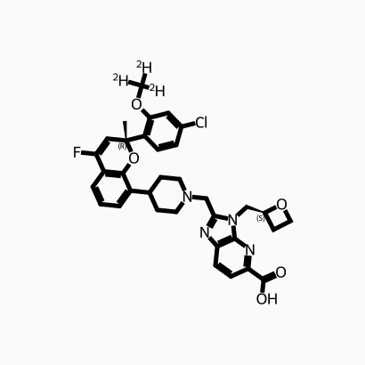 [2H]C([2H])([2H])Oc1cc(Cl)ccc1[C@@]1(C)C=C(F)c2cccc(C3CCN(Cc4nc5ccc(C(=O)O)nc5n4C[C@@H]4CCO4)CC3)c2O1